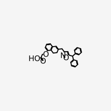 O=C(O)COc1cccc2c1CCC(Cc1cc(C(c3ccccc3)c3ccccc3)on1)=C2